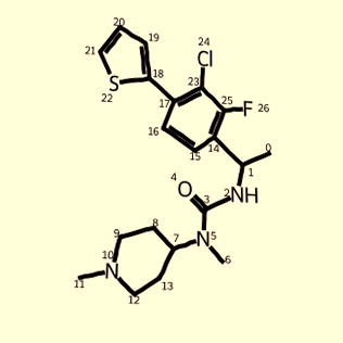 CC(NC(=O)N(C)C1CCN(C)CC1)c1ccc(-c2cccs2)c(Cl)c1F